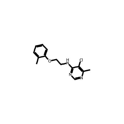 Cc1ccccc1OCCNc1ncnc(C)c1Cl